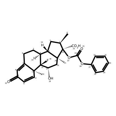 C[C@@H]1C[C@H]2[C@@H]3CCC4=CC(=O)C=C[C@]4(C)[C@@]3(F)[C@@H](O)C[C@]2(C)[C@@]1(OC(=O)Oc1ccccc1)C(=O)O